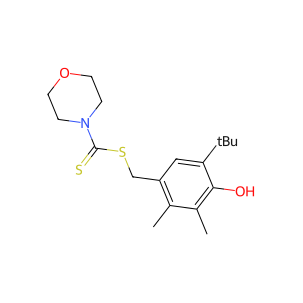 Cc1c(CSC(=S)N2CCOCC2)cc(C(C)(C)C)c(O)c1C